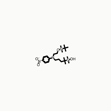 CC(C)(CCCN(CCO[Si](C)(C)C(C)(C)C)c1ccc([N+](=O)[O-])cc1)[Si](C)(C)O